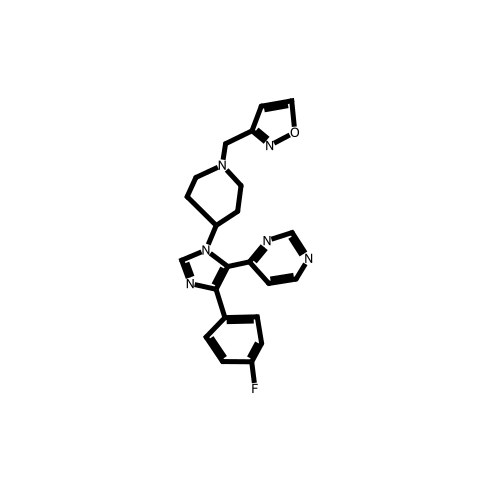 Fc1ccc(-c2ncn(C3CCN(Cc4ccon4)CC3)c2-c2ccncn2)cc1